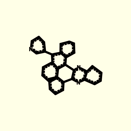 c1ccc(-c2nc3ccccc3nc2-c2c3ccccc3c(-c3cccnc3)c3ccccc23)cc1